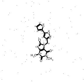 Cn1c(=O)c2c(nc(Cl)n2Cc2cc(-c3ccco3)on2)n(C)c1=O